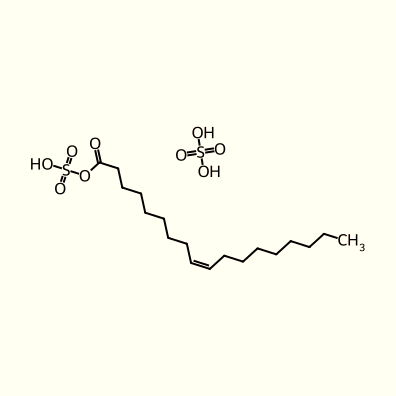 CCCCCCCC/C=C\CCCCCCCC(=O)OS(=O)(=O)O.O=S(=O)(O)O